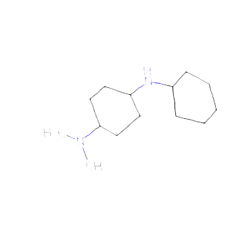 CN(C)C1CCC(NC2CCCCC2)CC1